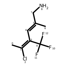 C/C(Cl)=C(\C=C(/C)CN)C(F)(F)F